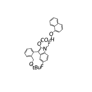 CC(C)(C)OCc1ccccc1-c1c(OC(=O)O)n(CCCOc2cccc3ccccc23)c2ccc(F)cc12